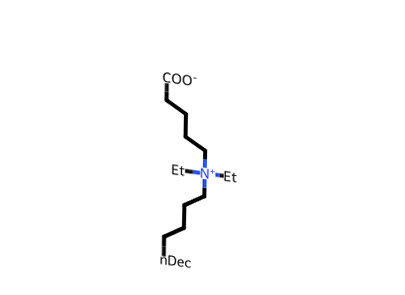 CCCCCCCCCCCCCC[N+](CC)(CC)CCCCC(=O)[O-]